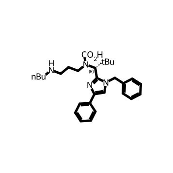 CCCCNCCCN(C(=O)O)[C@@H](c1nc(-c2ccccc2)cn1Cc1ccccc1)C(C)(C)C